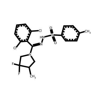 Cc1ccc(S(=O)(=O)N/N=C(\c2c(Cl)cccc2Cl)N2CC(C)C(F)(F)C2)cc1